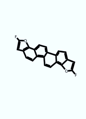 Fc1cc2ccc3c4ccc5c(ccc6cc(F)oc65)c4ccc3c2o1